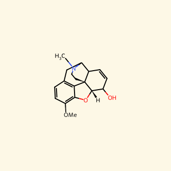 COc1ccc2c3c1O[C@H]1C(O)C=CC4C(C2)N(C)CC[C@@]341